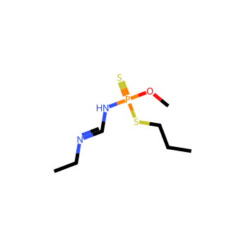 CCCSP(=S)(N/C=N/CC)OC